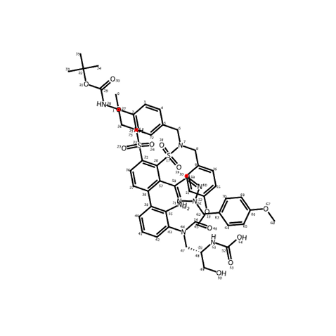 COc1ccc(CN(Cc2ccc(OC)cc2)S(=O)(=O)c2c(S(=O)(=O)NCCNC(=O)OC(C)(C)C)ccc(-c3cccc(N(C=O)C[C@@H](CO)NC(=O)O)c3N)c2-c2nnn(Cc3ccc(OC)cc3)n2)cc1